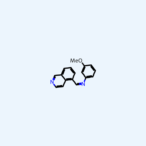 COc1cccc(/N=C\c2cccc3cnccc23)c1